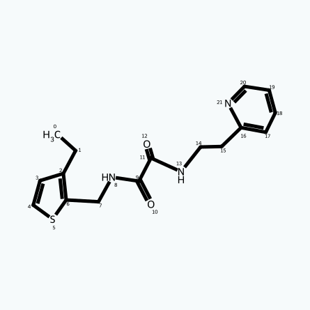 CCc1ccsc1CNC(=O)C(=O)NCCc1ccccn1